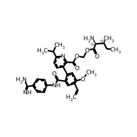 C=Cc1cc(C(=O)Nc2ccc(C(=N)N)cc2)c(-c2ccc(C(C)C)nc2C(=O)OCOC(=O)[C@@H](N)[C@@H](C)CC)cc1OC